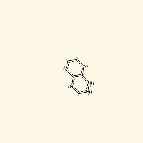 c1nc2[nH]ccoc=2[nH][nH]1